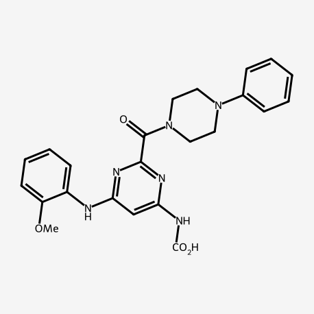 COc1ccccc1Nc1cc(NC(=O)O)nc(C(=O)N2CCN(c3ccccc3)CC2)n1